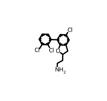 NCCC1Cc2cc(Cl)cc(-c3cccc(Cl)c3Cl)c2O1